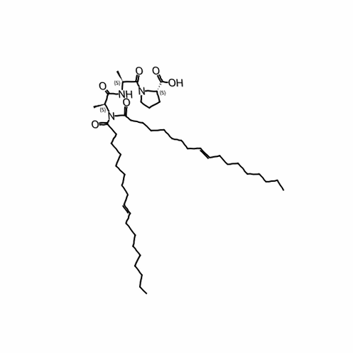 CCCCCCCCC=CCCCCCCCC(=O)N(C(=O)CCCCCCCC=CCCCCCCCC)[C@@H](C)C(=O)N[C@@H](C)C(=O)N1CCC[C@H]1C(=O)O